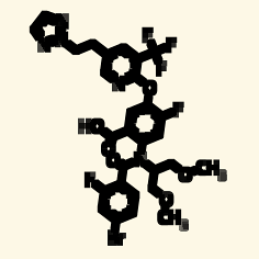 COCC(COC)N(C(=O)c1ccc(Br)cc1F)c1cc(F)c(Oc2ncc(CCn3nccn3)cc2C(F)(F)F)cc1C(=O)O